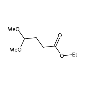 CCOC(=O)CCC(OC)OC